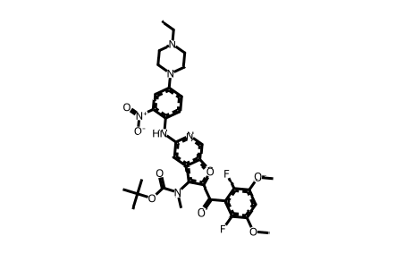 CCN1CCN(c2ccc(Nc3cc4c(N(C)C(=O)OC(C)(C)C)c(C(=O)c5c(F)c(OC)cc(OC)c5F)oc4cn3)c([N+](=O)[O-])c2)CC1